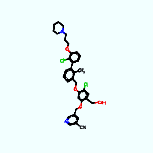 Cc1c(COc2cc(OCc3cncc(C#N)c3)c(CO)cc2Cl)cccc1-c1cccc(OCCCN2CCCCC2)c1Cl